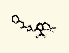 O=C(O)c1c(OC2CN(C(=O)CC3CCCCO3)C2)ccc2c1O[B-](O)(O)CC2